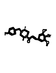 COc1cc(C=CC(=O)N2C[C@@H](C)N(Cc3ccc(F)cc3)C[C@@H]2C)cc(OC)c1Br